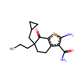 N#CCCC1(CC2CC2)CCc2c(sc(N)c2C(N)=O)C1=O